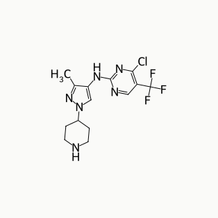 Cc1nn(C2CCNCC2)cc1Nc1ncc(C(F)(F)F)c(Cl)n1